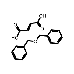 O=C(O)C=CC(=O)O.c1ccc(COCc2ccccc2)cc1